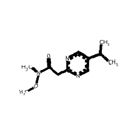 CON(C)C(=O)Cc1ncc(C(C)C)cn1